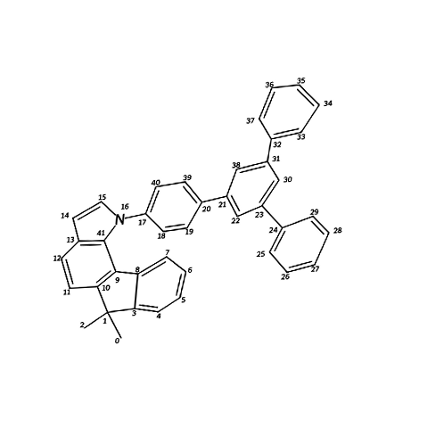 CC1(C)c2ccccc2-c2c1ccc1ccn(-c3ccc(-c4cc(-c5ccccc5)cc(-c5ccccc5)c4)cc3)c21